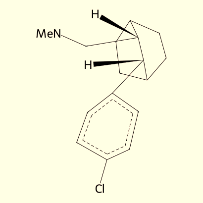 CNC[C@@H]1C2CCC(CC2)[C@@H]1c1ccc(Cl)cc1